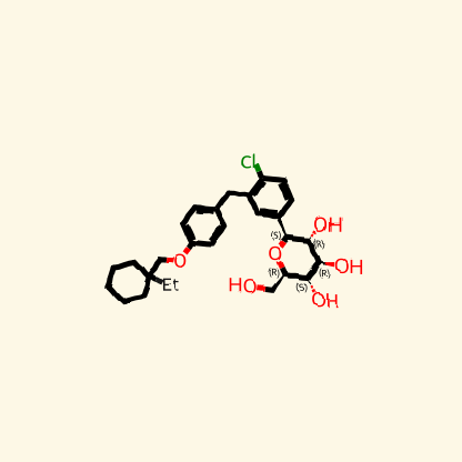 CCC1(COc2ccc(Cc3cc([C@@H]4O[C@H](CO)[C@@H](O)[C@H](O)[C@H]4O)ccc3Cl)cc2)CCCCC1